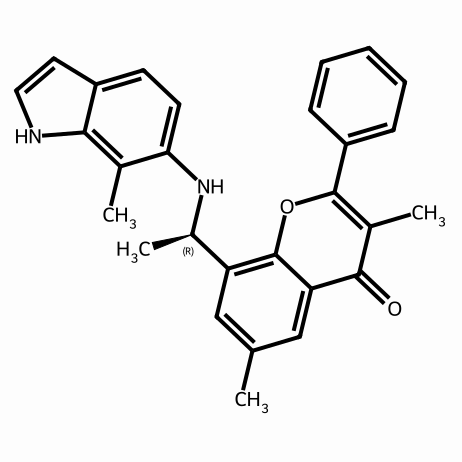 Cc1cc([C@@H](C)Nc2ccc3cc[nH]c3c2C)c2oc(-c3ccccc3)c(C)c(=O)c2c1